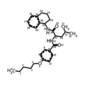 CCCCCOc1ccc(C(=O)NC(CC(C)C)C(=O)NC2CCCc3ccccc32)cc1